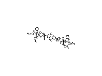 COC(=O)N[C@@H](C(=O)N1C2C(C[C@H]1c1ncc(-c3cc4c5c(c3)OCc3cc(-c6cnc([C@@H]7CC8C([C@@H]8C)N7C(=O)[C@H](NC(=O)OC)c7ccccc7)[nH]6)cc(c3-5)OC4)[nH]1)[C@H]2C)c1ccccc1